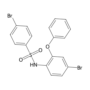 O=S(=O)(Nc1ccc(Br)cc1Oc1ccccc1)c1ccc(Br)cc1